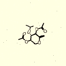 C=C1OCC(OC(C)=O)[C@H](OC(C)C)C1OC(C)=O